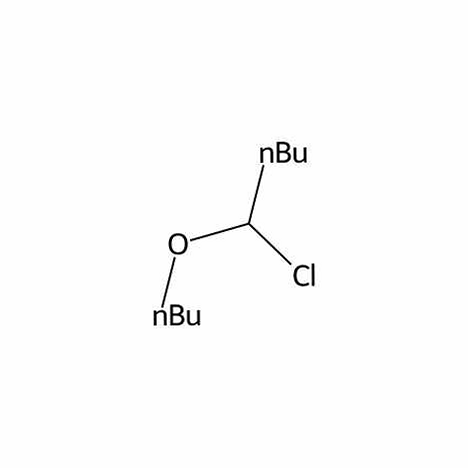 CCCCOC(Cl)CCCC